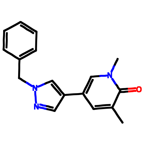 Cc1cc(-c2cnn(Cc3ccccc3)c2)cn(C)c1=O